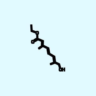 CCOC(=O)/C=C(C)/C=C/C=C(\C)CO